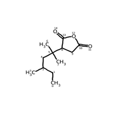 CCC(C)CC(C)(C)C1CC(=O)OC1=O